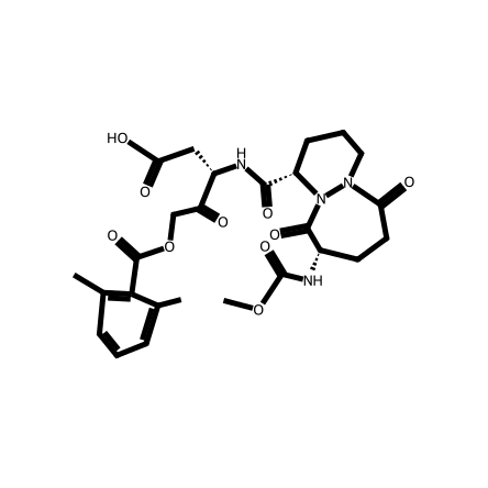 COC(=O)N[C@H]1CCC(=O)N2CCC[C@@H](C(=O)N[C@@H](CC(=O)O)C(=O)COC(=O)c3c(C)cccc3C)N2C1=O